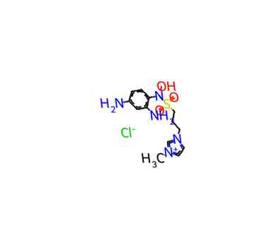 C[n+]1ccn(CCCS(=O)(=O)N(O)c2ccc(N)cc2N)c1.[Cl-]